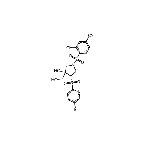 N#Cc1ccc(S(=O)(=O)N2C[C@H](S(=O)(=O)c3ccc(Br)cn3)[C@@](O)(CO)C2)c(Cl)c1